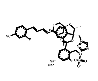 C[C@@H](S[C@H]1CO[C@H](C=CC=Cc2ccc(C#N)cc2F)OC1)[C@@](Cn1cncn1)(OC(=O)c1cccc(F)c1COP(=O)([O-])[O-])c1ccc(F)cc1F.[Na+].[Na+]